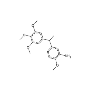 COc1ccc(C(C)c2cc(OC)c(OC)c(OC)c2)cc1N